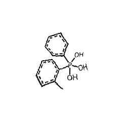 Cc1ccccc1P(O)(O)(O)c1ccccc1